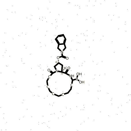 O=C1NC(B(O)O)CCCCCCCCCCC(=O)N2C[C@H](OC(=O)N3Cc4ccccc4C3)C[C@@H]12